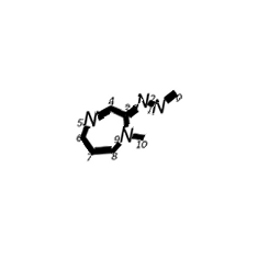 C=N/N=C1/C=NCC=CN1C